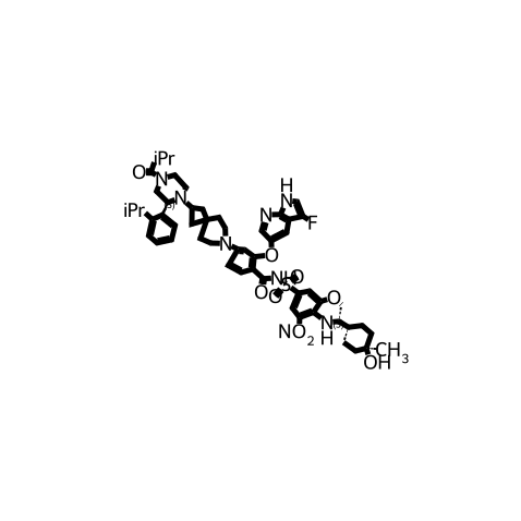 CC(C)C(=O)N1CCN(C2CC3(CCN(c4ccc(C(=O)NS(=O)(=O)c5cc6c(c([N+](=O)[O-])c5)N[C@@H]([C@H]5CC[C@](C)(O)CC5)CO6)c(Oc5cnc6[nH]cc(F)c6c5)c4)CC3)C2)[C@@H](c2ccccc2C(C)C)C1